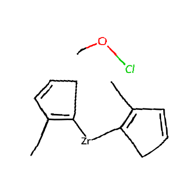 CC1=[C]([Zr][C]2=C(C)C=CC2)CC=C1.COCl